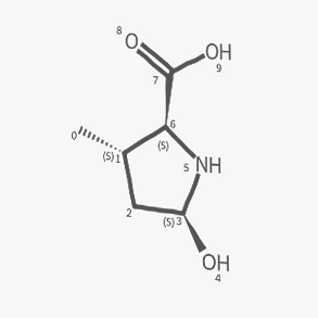 C[C@H]1C[C@H](O)N[C@@H]1C(=O)O